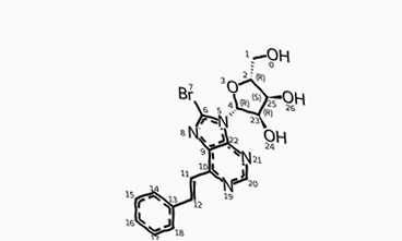 OC[C@H]1O[C@@H](n2c(Br)nc3c(C=Cc4ccccc4)ncnc32)[C@H](O)[C@@H]1O